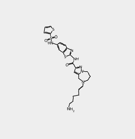 NCCCCCCN1CCCn2nc(C(=O)Nc3nc4ccc(NS(=O)(=O)c5cccs5)cc4s3)cc2C1